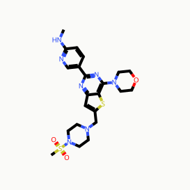 CNc1ccc(-c2nc(N3CCOCC3)c3sc(CN4CCN(S(C)(=O)=O)CC4)cc3n2)cn1